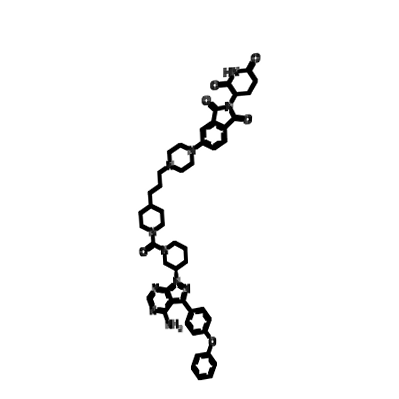 Nc1ncnc2c1c(-c1ccc(Oc3ccccc3)cc1)nn2[C@@H]1CCCN(C(=O)N2CCC(CCCN3CCN(c4ccc5c(c4)C(=O)N(C4CCC(=O)NC4=O)C5=O)CC3)CC2)C1